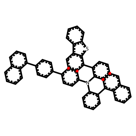 c1ccc(N(c2ccc(-c3ccc(-c4cccc5ccccc45)cc3)cc2)c2ccccc2-c2cccc3c2sc2ccccc23)c(-c2cccc3ccccc23)c1